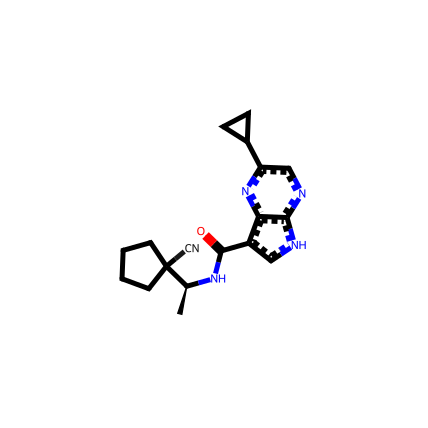 C[C@H](NC(=O)c1c[nH]c2ncc(C3CC3)nc12)C1(C#N)CCCC1